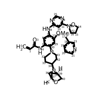 C=CC(=O)Nc1cc(Nc2cc(N3OCC[C@@H]3Cc3cccnc3)ncn2)c(OC)cc1N1CCC(N2C[C@H]3C[C@@H]2CO3)CC1